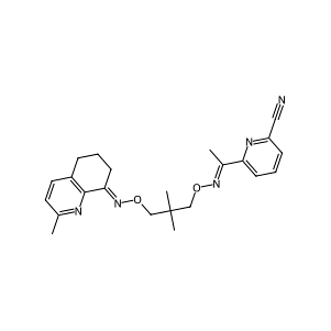 C/C(=N\OCC(C)(C)CO/N=C1\CCCc2ccc(C)nc21)c1cccc(C#N)n1